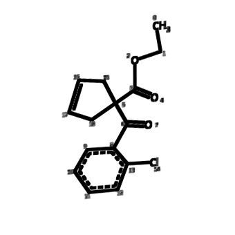 CCOC(=O)C1(C(=O)c2ccccc2Cl)CC=CC1